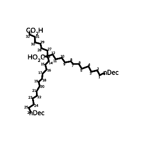 CCCCCCCCCCCCCCCCCCCCCCC(CCCCCCCCCCCCCCCCCCCCCC)(CCCCCCC(=O)O)C(=O)O